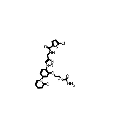 NC(=O)NCCOc1cc(-n2ccccc2=O)ccc1-n1cc(CNC(=O)c2ccc(Cl)s2)nn1